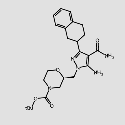 CC(C)(C)OC(=O)N1CCO[C@@H](Cn2nc(C3CCc4ccccc4C3)c(C(N)=O)c2N)C1